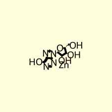 OC[C@H]1O[C@@H](n2cnc3c(O)ncnc32)[C@H](O)[C@@H]1O.[Zn]